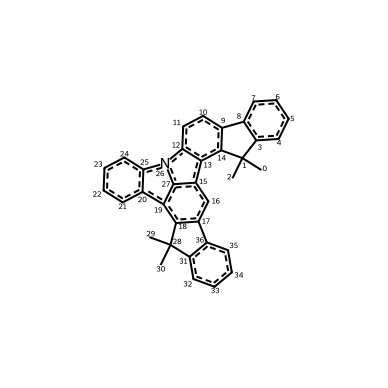 CC1(C)c2ccccc2-c2ccc3c(c21)c1cc2c(c4c5ccccc5n3c14)C(C)(C)c1ccccc1-2